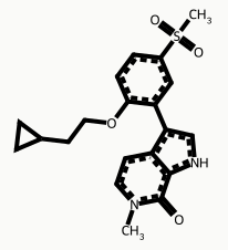 Cn1ccc2c(-c3cc(S(C)(=O)=O)ccc3OCCC3CC3)c[nH]c2c1=O